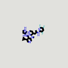 C=Nc1cncc(C2CC2)c1/C(=N\CC(/C=C\N)=C/C(=C)Nc1nc(F)c(F)cc1F)NC1CCNC1